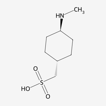 CN[C@H]1CC[C@H](CS(=O)(=O)O)CC1